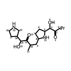 CC(C)C(=O)C(O)C1CCC(CC(C)C(=O)C(O)C2CCNC2)N1